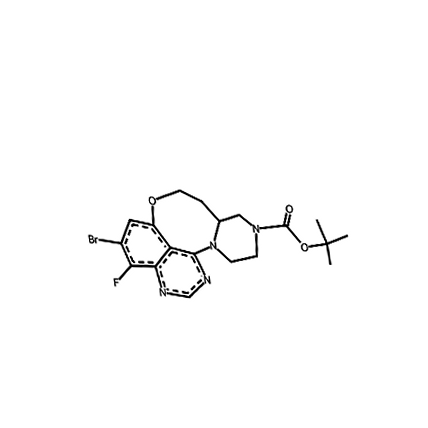 CC(C)(C)OC(=O)N1CCN2c3ncnc4c(F)c(Br)cc(c34)OCCC2C1